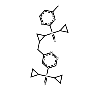 O=P(c1cnnc(CC2CC2P(=O)(c2nccc(I)n2)C2CC2)c1)(C1CC1)C1CC1